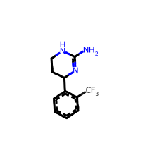 NC1=NC(c2ccccc2C(F)(F)F)CCN1